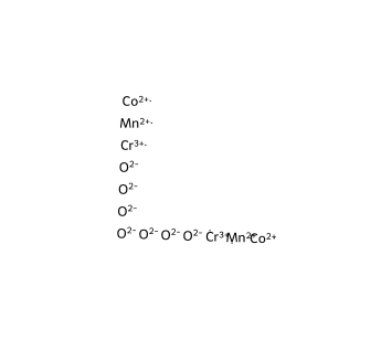 [Co+2].[Co+2].[Cr+3].[Cr+3].[Mn+2].[Mn+2].[O-2].[O-2].[O-2].[O-2].[O-2].[O-2].[O-2]